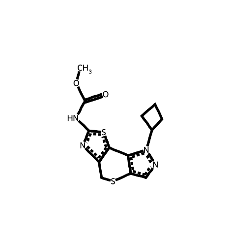 COC(=O)Nc1nc2c(s1)-c1c(cnn1C1CCC1)SC2